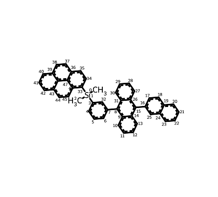 C[Si](C)(c1cccc(-c2c3ccccc3c(-c3ccc4ccccc4c3)c3ccccc23)c1)c1ccc2ccc3cccc4ccc1c2c34